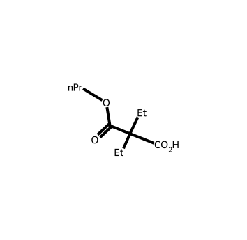 CCCOC(=O)C(CC)(CC)C(=O)O